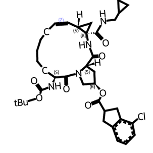 CC(C)(C)OC(=O)N[C@H]1CCCCC/C=C\[C@@H]2C[C@@]2(C(=O)NCC2CC2)NC(=O)[C@@H]2C[C@@H](OC(=O)C3Cc4cccc(Cl)c4C3)CN2C1=O